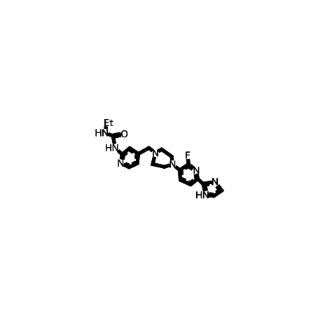 CCNC(=O)Nc1cc(CN2CCN(c3ccc(-c4ncc[nH]4)nc3F)CC2)ccn1